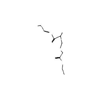 CCOC(=O)CSCC(C)C(=O)OCCO